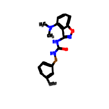 CSc1cccc(SNC(=O)Nc2noc3cccc(N(C)C)c23)c1